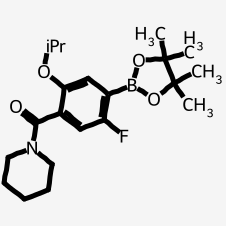 CC(C)Oc1cc(B2OC(C)(C)C(C)(C)O2)c(F)cc1C(=O)N1CCCCC1